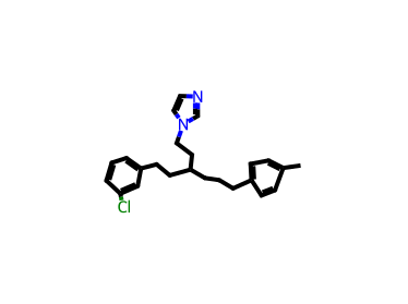 Cc1ccc(CCCC(CCc2cccc(Cl)c2)CCn2ccnc2)cc1